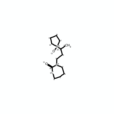 CC(CCN1CCCCCC1=O)[N+]1([O-])CCCC1